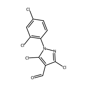 O=Cc1c(Cl)nn(-c2ccc(Cl)cc2Cl)c1Cl